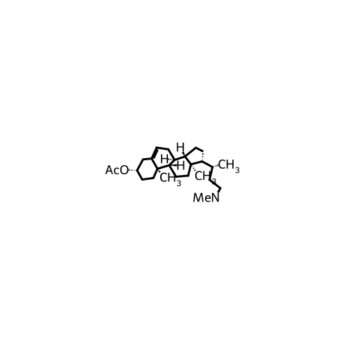 CNCC[C@@H](C)[C@H]1CC[C@H]2[C@@H]3CC=C4C[C@@H](OC(C)=O)CC[C@]4(C)[C@H]3CC[C@]12C